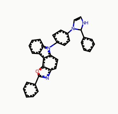 C1=CN(c2ccc(-n3c4ccccc4c4c5oc(-c6ccccc6)nc5ccc43)cc2)C(c2ccccc2)N1